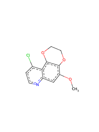 COc1cc2nccc(Cl)c2c2c1OCCO2